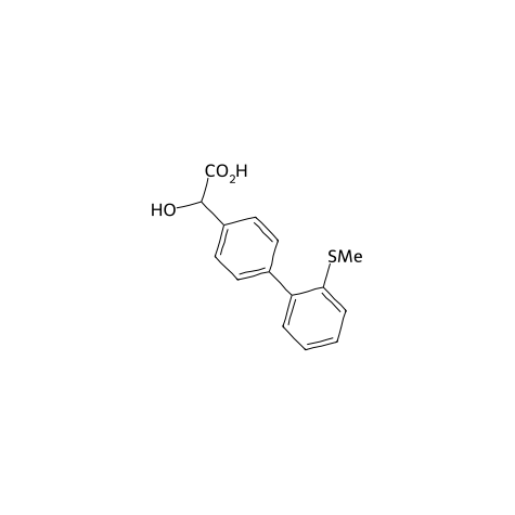 CSc1ccccc1-c1ccc(C(O)C(=O)O)cc1